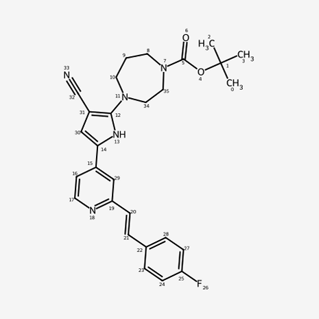 CC(C)(C)OC(=O)N1CCCN(c2[nH]c(-c3ccnc(C=Cc4ccc(F)cc4)c3)cc2C#N)CC1